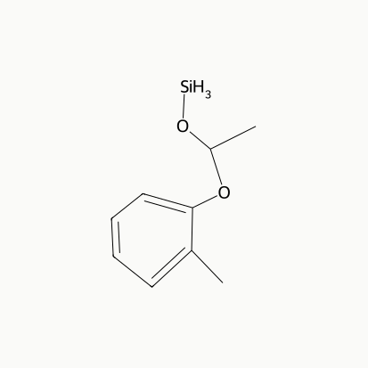 Cc1ccccc1OC(C)O[SiH3]